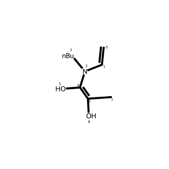 C=CN(CCCC)/C(O)=C(\C)O